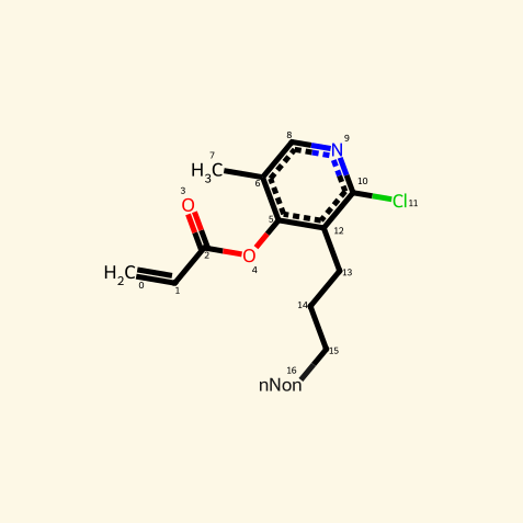 C=CC(=O)Oc1c(C)cnc(Cl)c1CCCCCCCCCCCC